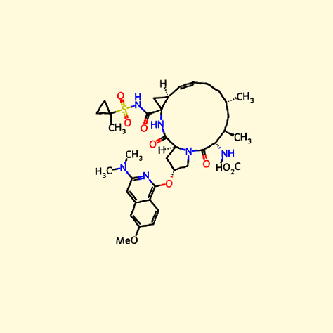 COc1ccc2c(O[C@@H]3C[C@H]4C(=O)N[C@]5(C(=O)NS(=O)(=O)C6(C)CC6)C[C@H]5/C=C\CC[C@H](C)C[C@@H](C)[C@H](NC(=O)O)C(=O)N4C3)nc(N(C)C)cc2c1